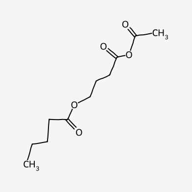 CCCCC(=O)OCCCC(=O)OC(C)=O